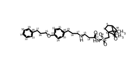 CC1(C)C2CCC1(CS(=O)(=O)NC(=O)CCNCCCc1ccc(OCCCc3ccccc3)cc1)C(=O)C2